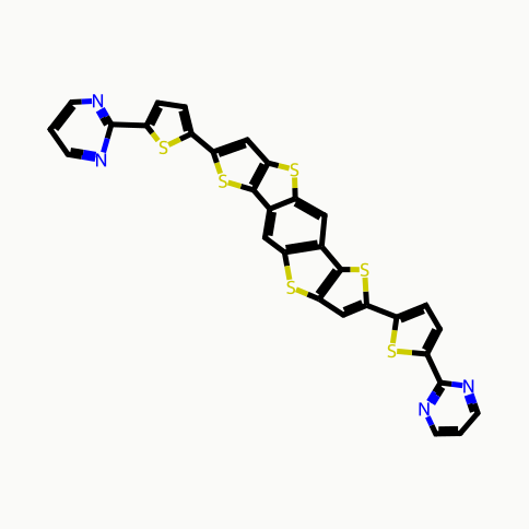 c1cnc(-c2ccc(-c3cc4sc5cc6c(cc5c4s3)sc3cc(-c4ccc(-c5ncccn5)s4)sc36)s2)nc1